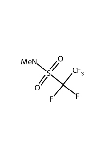 CNS(=O)(=O)C(F)(F)C(F)(F)F